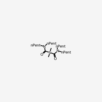 CCCCCN(CCCCC)C(=O)[Si](C)(C)C(=O)N(CCCCC)CCCCC